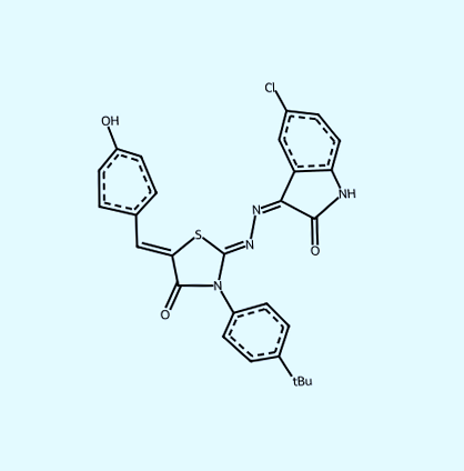 CC(C)(C)c1ccc(N2C(=O)C(=Cc3ccc(O)cc3)SC2=NN=C2C(=O)Nc3ccc(Cl)cc32)cc1